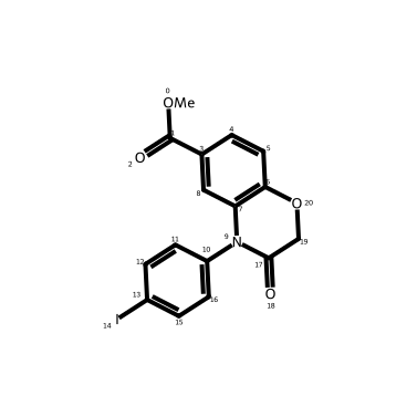 COC(=O)c1ccc2c(c1)N(c1ccc(I)cc1)C(=O)CO2